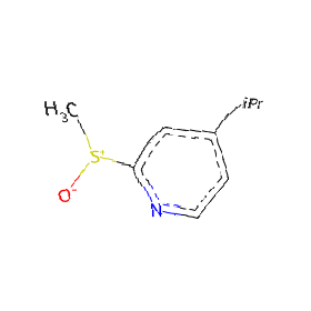 CC(C)c1ccnc([S+](C)[O-])c1